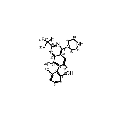 Oc1cccc(F)c1-c1c(I)cc2c(N3CCNCC3)nc(C(F)(F)F)nc2c1F